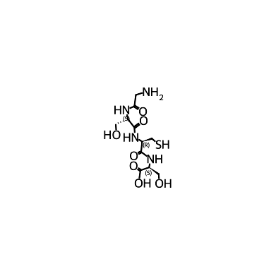 NCC(=O)N[C@@H](CO)C(=O)N[C@@H](CS)C(=O)N[C@@H](CO)C(=O)O